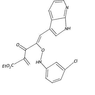 C=C(C(=O)OCC)C(=O)/C(=C/c1c[nH]c2ncccc12)ONc1cccc(Cl)c1